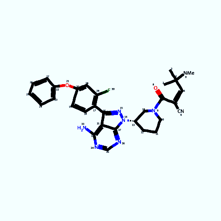 CNC(C)(C)/C=C(/C#N)C(=O)N1CCC[C@H](n2nc(-c3ccc(Oc4ccccc4)cc3F)c3c(N)ncnc32)C1